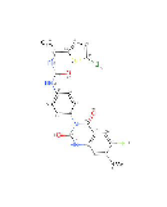 CNc1cc2[nH]c(=O)n(-c3ccc(NC(=O)NC(C(=O)O)c4ccc(Cl)s4)cc3)c(=O)c2cc1F